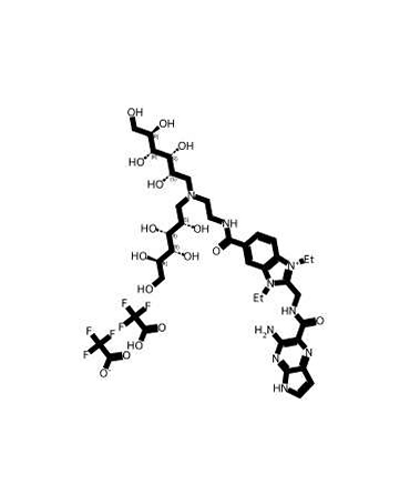 CCn1c(CNC(=O)c2nc3cc[nH]c3nc2N)[n+](CC)c2ccc(C(=O)NCCN(C[C@H](O)[C@@H](O)[C@H](O)[C@H](O)CO)C[C@H](O)[C@@H](O)[C@H](O)[C@H](O)CO)cc21.O=C(O)C(F)(F)F.O=C([O-])C(F)(F)F